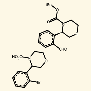 CC(C)(C)OC(=O)N1CCOC[C@H]1c1ccccc1C=O.O=C(O)N1CCOCC1c1ccccc1Br